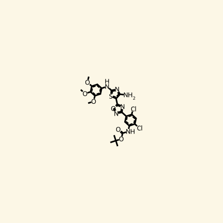 COc1cc(Nc2nc(N)c(-c3nc(-c4cc(NC(=O)OC(C)(C)C)c(Cl)cc4Cl)no3)s2)cc(OC)c1OC